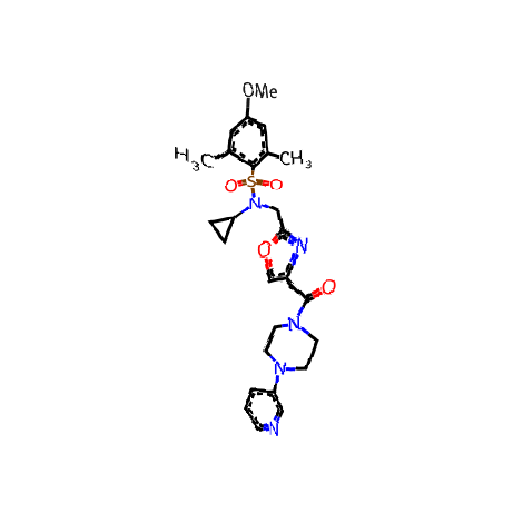 COc1cc(C)c(S(=O)(=O)N(Cc2nc(C(=O)N3CCN(c4cccnc4)CC3)co2)C2CC2)c(C)c1